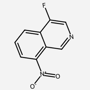 O=[N+]([O-])c1cccc2c(F)cncc12